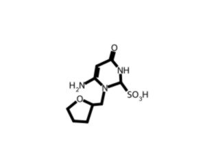 NC1=CC(=O)NC(S(=O)(=O)O)N1CC1CCCO1